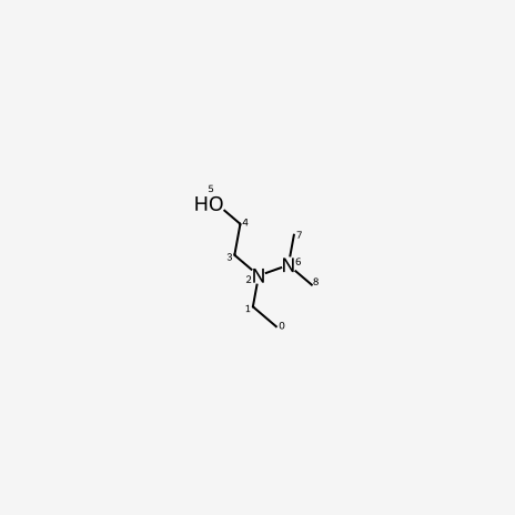 CCN(CCO)N(C)C